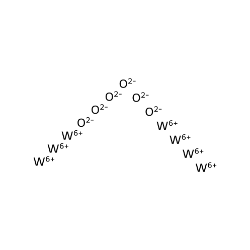 [O-2].[O-2].[O-2].[O-2].[O-2].[O-2].[W+6].[W+6].[W+6].[W+6].[W+6].[W+6].[W+6]